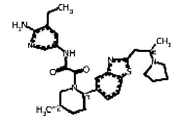 CCc1cc(NC(=O)C(=O)N2C[C@@H](C)CC[C@@H]2c2ccc3sc(C[C@@H](C)N4CCCC4)nc3c2)cnc1N